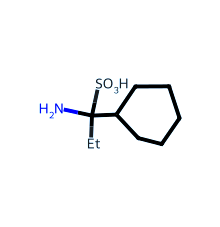 CCC(N)(C1CCCCC1)S(=O)(=O)O